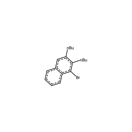 CCCCc1cc2ccccc2c(Br)c1CCCC